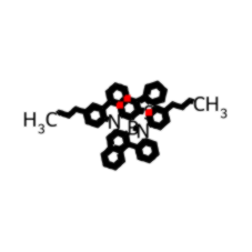 CCCCc1ccc(N2B3c4c(cc5ccccc5c4-c4ccccc42)N(c2ccc(CCCC)cc2-c2ccccc2)c2ccc4c(sc5ccccc54)c23)cc1